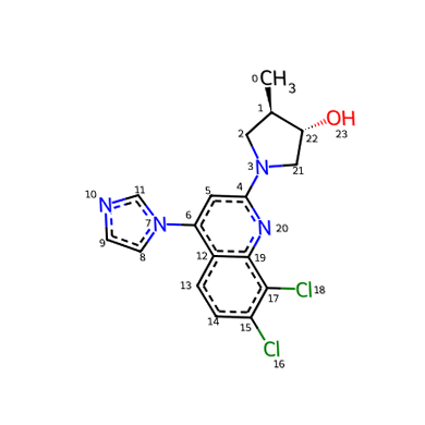 C[C@@H]1CN(c2cc(-n3ccnc3)c3ccc(Cl)c(Cl)c3n2)C[C@H]1O